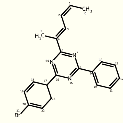 C/C=C\C=C(/C)c1nc(-c2ccccc2)nc(C2C=CC(Br)=CC2)n1